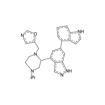 CC(C)N1CCN(Cc2cnco2)C(c2cc(-c3cccc4[nH]ccc34)cc3[nH]ncc23)C1